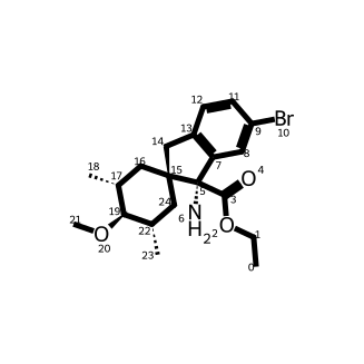 CCOC(=O)[C@]1(N)c2cc(Br)ccc2C[C@@]12C[C@@H](C)[C@H](OC)[C@@H](C)C2